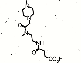 CN1CCN(CC(=O)N(C)CCNC(=O)CCC(=O)O)CC1